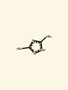 CCCCc1n[nH]c(CCCC)n1